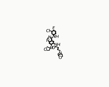 O=C(/C=C/CN1CC2CC1CO2)Nc1cc2c(Nc3ccc(F)c(Cl)c3)ncnc2cc1O[C@H]1CCOC1